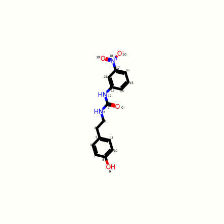 O=C(NCCc1ccc(O)cc1)Nc1cccc([N+](=O)[O-])c1